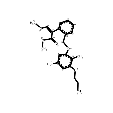 CCCOc1cc(C)cc(OCc2ccccc2C(=COC)C(=O)OC)c1C